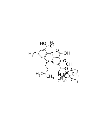 COc1c([C@H](CC(C)C)O[Si](C)(C)C(C)(C)C)ccc(Oc2c(OCCC(C)C)cc(C)cc2[C@@H](C)O)c1C(=O)O